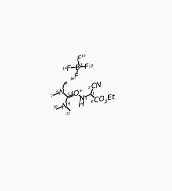 CCOC(=O)C(C#N)N[O+]=C(N(C)C)N(C)C.F[B-](F)(F)F